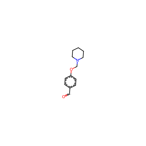 O=[C]c1ccc(OCN2CCCCC2)cc1